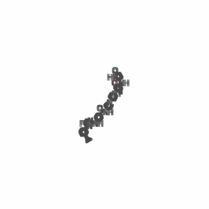 O=C1CCC(Nc2ccc(N3CCC(N4CCC(NC(=O)[C@H]5CC[C@H](Nc6ncc(F)c(-c7cccc(C8CC8)c7)n6)CC5)CC4)CC3)c(F)c2)C(=O)N1